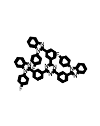 Fc1ccc(-n2c(-c3cccc(-c4nc(-c5cccc(-c6nc7ccccc7n6-c6ccc(F)cc6)c5)nc(-c5cccc(-c6nc7ccccc7n6-c6ccc(F)cc6)c5)n4)c3)nc3ccccc32)cc1